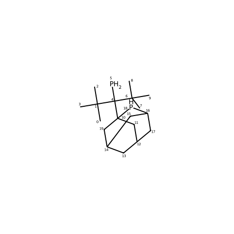 CC(C)(C)C(P)(C(C)(C)C)C12CC3CC(CC(C3)P1)C2